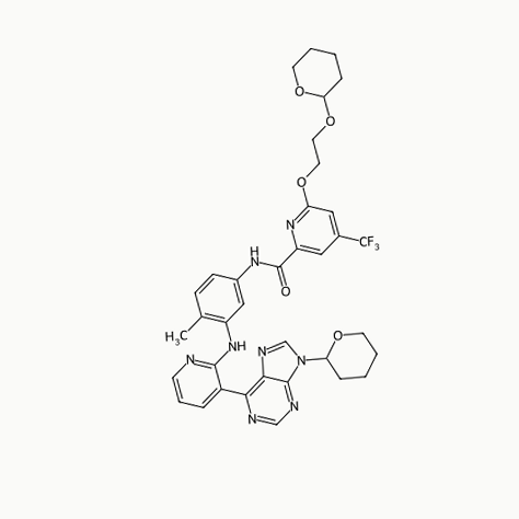 Cc1ccc(NC(=O)c2cc(C(F)(F)F)cc(OCCOC3CCCCO3)n2)cc1Nc1ncccc1-c1ncnc2c1ncn2C1CCCCO1